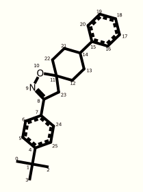 CC(C)(C)c1ccc(C2=NOC3(CCC(c4ccccc4)CC3)C2)cc1